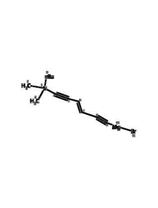 CCCC[Si](C)(C)C#CC=CC#[C][Mg][Br]